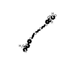 Cn1c2ccncc2c2ccc(-c3ccc(OCC#CCOCCCCOCCCCOc4ccc5c(c4)C(=O)N(C4CCC(=O)NC4=O)C5=O)cc3)nc21